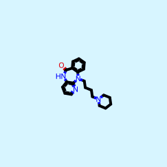 O=C1Nc2cccnc2N(CCCCN2CCCCC2)c2ccccc21